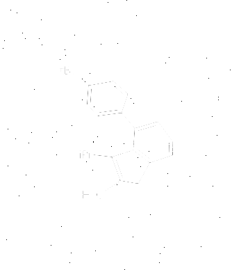 CC1=C(C(C)C)c2c(cccc2-c2ccc(C(C)(C)C)cc2)[CH]1